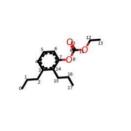 CCCc1cccc(OC(=O)OCC)c1CCC